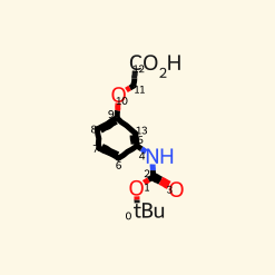 CC(C)(C)OC(=O)Nc1cccc(OCC(=O)O)c1